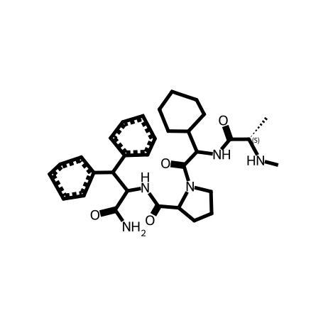 CN[C@@H](C)C(=O)NC(C(=O)N1CCCC1C(=O)NC(C(N)=O)C(c1ccccc1)c1ccccc1)C1CCCCC1